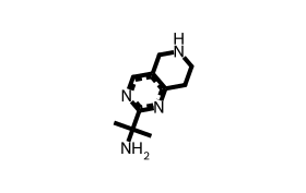 CC(C)(N)c1ncc2c(n1)CCNC2